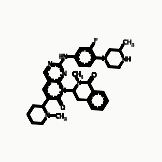 CC1CN(c2ccc(Nc3ncc4cc(C5CCCCN5C)c(=O)n(C5Cc6ccccc6C(=O)N5C)c4n3)cc2F)CCN1